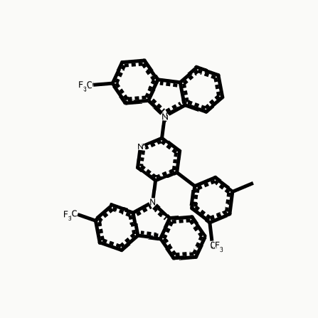 Cc1cc(-c2cc(-n3c4ccccc4c4ccc(C(F)(F)F)cc43)ncc2-n2c3ccccc3c3ccc(C(F)(F)F)cc32)cc(C(F)(F)F)c1